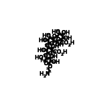 NCCO[C@@H]1O[C@H](CO)[C@@H](O[C@@H]2O[C@H](C(=O)O)[C@@H](O)[C@H](O[C@@H]3O[C@H](CO)[C@@H](O[C@@H]4O[C@H](C(=O)O)[C@@H](O)[C@H](O)[C@H]4O)[C@H](O)[C@H]3O)[C@H]2O)[C@H](O)[C@H]1O